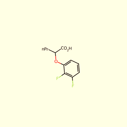 CCCC(Oc1cccc(F)c1F)C(=O)O